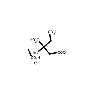 CC(=O)O.O=C([O-])CC(O)(CC(=O)O)C(=O)O.[K+]